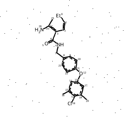 CC/C=C\C(C(=O)NCc1ccc(Oc2cc(C)c(Cl)c(C)c2)cc1)=C(/C)N